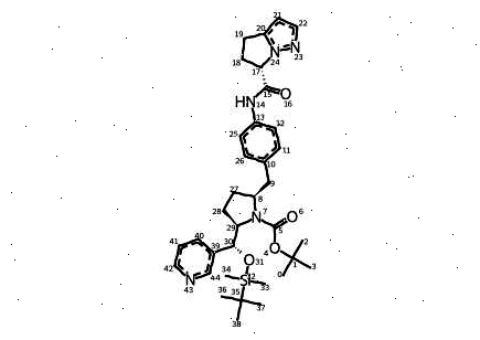 CC(C)(C)OC(=O)N1[C@H](Cc2ccc(NC(=O)[C@@H]3CCc4ccnn43)cc2)CC[C@@H]1[C@H](O[Si](C)(C)C(C)(C)C)c1cccnc1